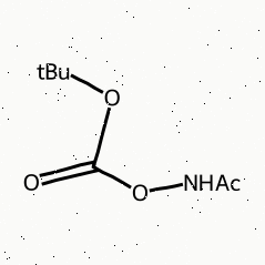 CC(=O)NOC(=O)OC(C)(C)C